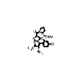 COC[C@@H]1CCCN1C(=O)C1CN2C(=N1)N=C(C)C(CN)=C2c1ccc(Cl)cc1Cl